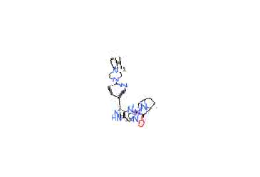 CN1CCN(c2ccc(-c3n[nH]c4cnc(N5C6CCC5C(=O)N(C)C6)nc34)cn2)CC1